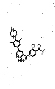 Cc1cc(-c2cnc3[nH]cc(-c4ccc(C(=O)N(C)C)c(Cl)c4)c3c2)cc(C)c1N1CCN(C)CC1